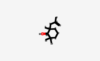 C=C(C)CC1(C)CCCC(C)(C)C1=O